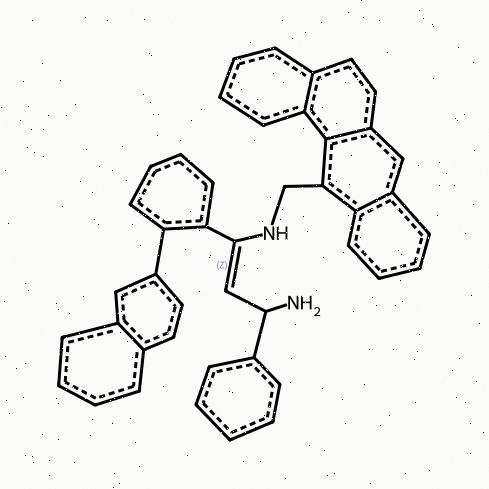 NC(/C=C(\NCc1c2ccccc2cc2ccc3ccccc3c12)c1ccccc1-c1ccc2ccccc2c1)c1ccccc1